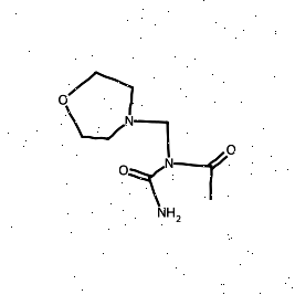 CC(=O)N(CN1CCOCC1)C(N)=O